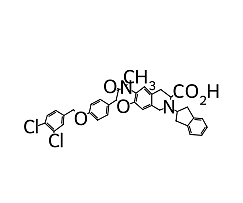 CN1C(=O)C(c2ccc(OCc3ccc(Cl)c(Cl)c3)cc2)Oc2cc3c(cc21)CC(C(=O)O)N(C1Cc2ccccc2C1)C3